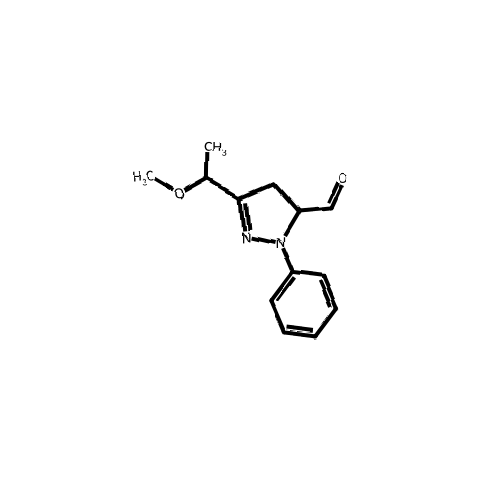 COC(C)C1=NN(c2ccccc2)C(C=O)C1